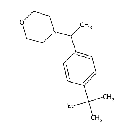 CCC(C)(C)c1ccc(C(C)N2CCOCC2)cc1